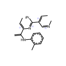 C=C(Nc1ccccc1C)C(=C/C)/N=C(C(/C=N\C)=C/C)\C(C)C